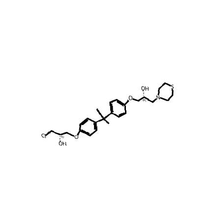 CC(C)(c1ccc(OC[C@H](O)CCl)cc1)c1ccc(OC[C@H](O)CN2CCSCC2)cc1